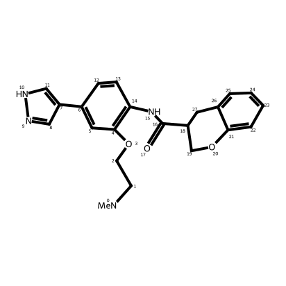 CNCCOc1cc(-c2cn[nH]c2)ccc1NC(=O)C1COc2ccccc2C1